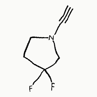 C#CN1CCC(F)(F)C1